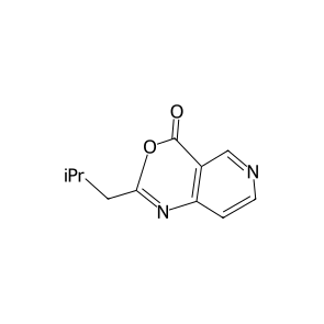 CC(C)Cc1nc2ccncc2c(=O)o1